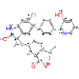 CC(C)c1ccc(C2CC23C(=O)Nc2cc(Cl)c(-c4ccc(-c5ncccc5O)cc4)cc23)cc1C(=O)O